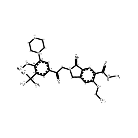 CCOc1cc2c(nc1C(=O)NC)C(=N)N(CC(=O)c1cc(N3CCOCC3)c(OC)c(C(C)(C)C)c1)C2